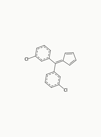 Clc1cccc(C(=C2C=CC=C2)c2cccc(Cl)c2)c1